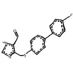 O=Cc1[nH]cnc1Sc1ccc(-c2ccc(F)cc2)cc1